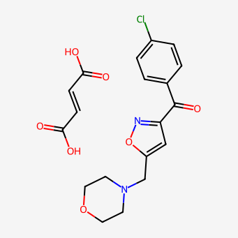 O=C(O)C=CC(=O)O.O=C(c1ccc(Cl)cc1)c1cc(CN2CCOCC2)on1